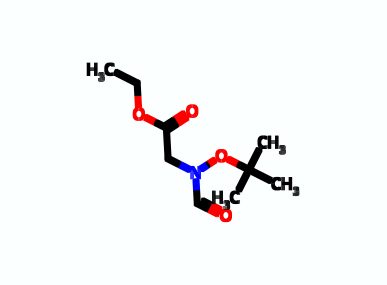 CCOC(=O)CN(C=O)OC(C)(C)C